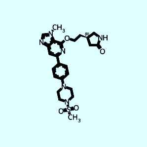 Cn1cnc2cc(-c3ccc(N4CCN(S(C)(=O)=O)CC4)cc3)nc(OCC[C@H]3CNC(=O)C3)c21